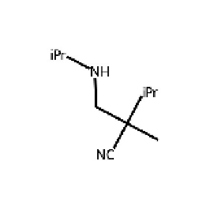 CC(C)NCC(C)(C#N)C(C)C